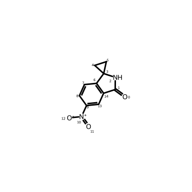 O=C1NC2(CC2)c2ccc([N+](=O)[O-])cc21